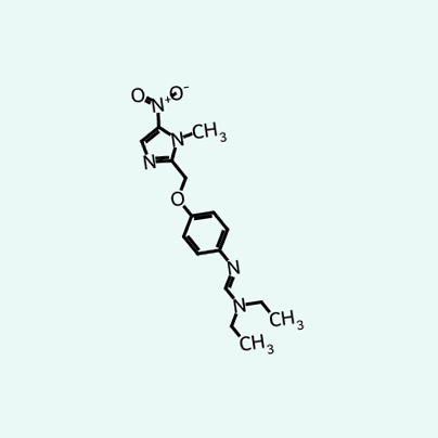 CCN(/C=N/c1ccc(OCc2ncc([N+](=O)[O-])n2C)cc1)CC